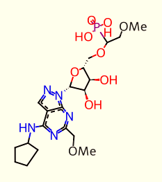 COCc1nc(NC2CCCC2)c2cnn([C@@H]3O[C@H](COC(COC)P(=O)(O)O)[C@@H](O)[C@H]3O)c2n1